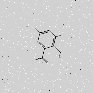 C=C(CCC)c1cc(C)cc(Cl)c1CBr